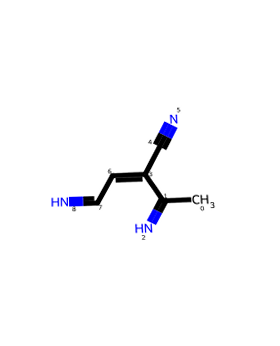 CC(=N)/C(C#N)=C\C=N